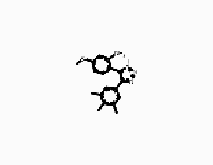 COc1ccc(-c2[nH]nnc2-c2cc(C)c(C)c(C)c2)c(N)c1